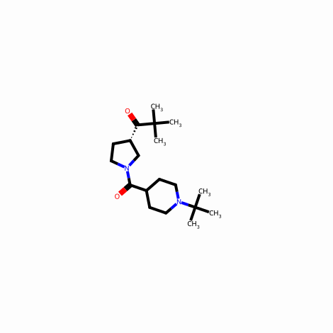 CC(C)(C)C(=O)[C@H]1CCN(C(=O)C2CCN(C(C)(C)C)CC2)C1